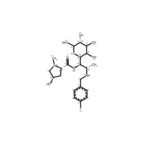 CCC[C@@H]1C[C@@H](C(=O)N[C@H]([C@H](C)NCc2ccc(F)cc2)[C@H]2OC(SC)[C@H](O)C(O)C2O)N(C)C1